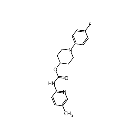 Cc1ccc(NC(=O)OC2CCN(c3ccc(F)cc3)CC2)nc1